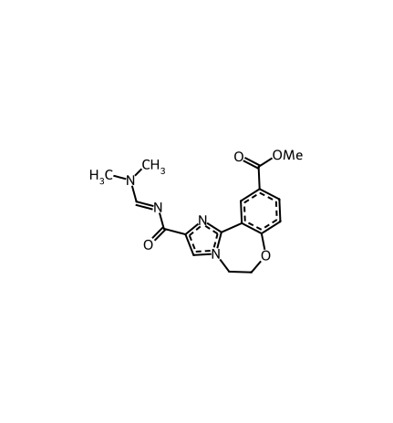 COC(=O)c1ccc2c(c1)-c1nc(C(=O)/N=C/N(C)C)cn1CCO2